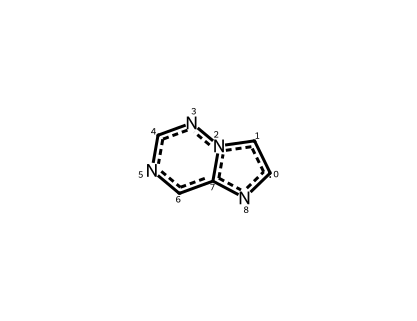 [c]1cn2ncncc2n1